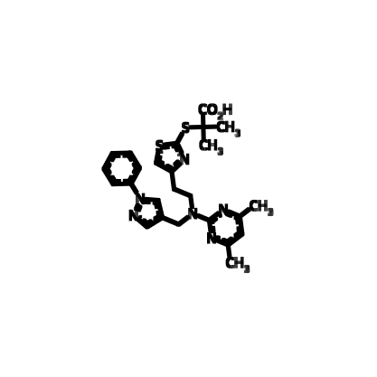 Cc1cc(C)nc(N(CCc2csc(SC(C)(C)C(=O)O)n2)Cc2cnn(-c3ccccc3)c2)n1